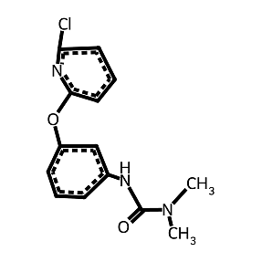 CN(C)C(=O)Nc1cccc(Oc2cccc(Cl)n2)c1